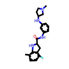 Cc1ccc(F)c2c1NC(C(=O)Nc1cccc(NC3CCN(C)C3)c1)C2